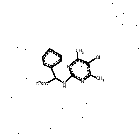 CCCCCC(Nc1nc(C)c(O)c(C)n1)c1ccccc1